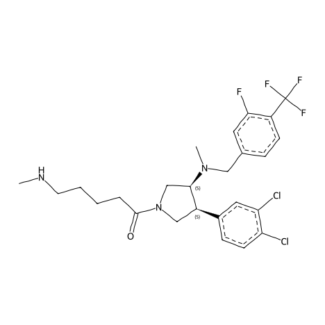 CNCCCCC(=O)N1C[C@H](c2ccc(Cl)c(Cl)c2)[C@H](N(C)Cc2ccc(C(F)(F)F)c(F)c2)C1